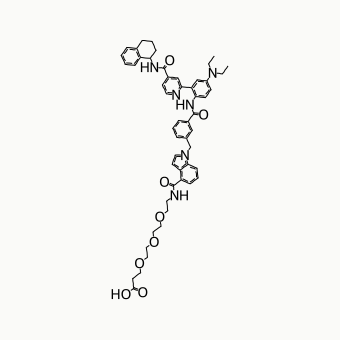 CCN(CC)c1ccc(NC(=O)c2cccc(Cn3ccc4c(C(=O)NCCOCCOCCOCCC(=O)O)cccc43)c2)c(-c2cc(C(=O)NC3CCCc4ccccc43)ccn2)c1